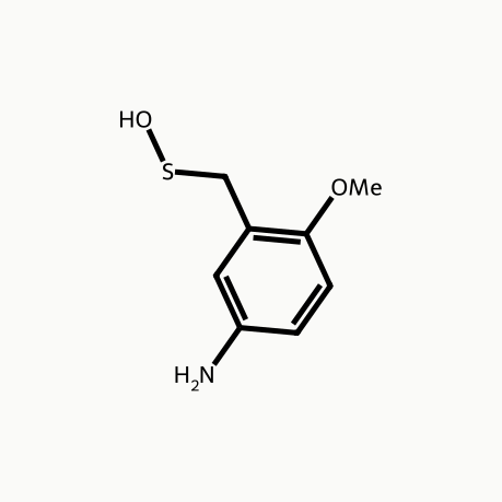 COc1ccc(N)cc1CSO